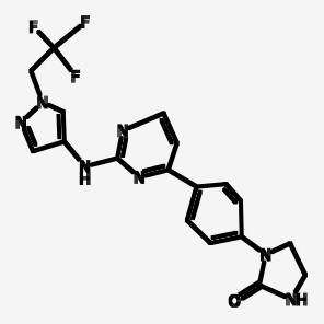 O=C1NCCN1c1ccc(-c2ccnc(Nc3cnn(CC(F)(F)F)c3)n2)cc1